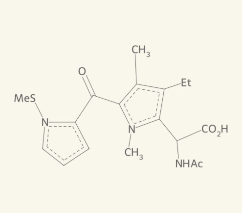 CCc1c(C)c(C(=O)c2cccn2SC)n(C)c1C(NC(C)=O)C(=O)O